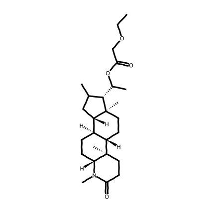 CCOCC(=O)OC(C)[C@H]1C(C)C[C@H]2[C@@H]3CC[C@H]4N(C)C(=O)CC[C@]4(C)[C@H]3CC[C@]12C